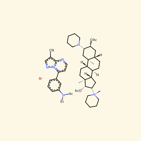 CC(=O)O[C@H]1C[C@@H]2CC[C@@H]3[C@H](CC[C@@]4(C)[C@H]3C[C@H]([N+]3(C)CCCCC3)[C@@H]4OC(C)=O)[C@@]2(C)C[C@@H]1N1CCCCC1.CCN(C(C)=O)c1cccc(-c2ccnc3c(C#N)cnn23)c1.[Br-]